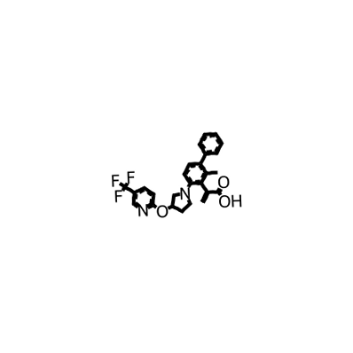 C=C(C(=O)O)c1c(N2CCC(Oc3ccc(C(F)(F)F)cn3)C2)ccc(-c2ccccc2)c1C